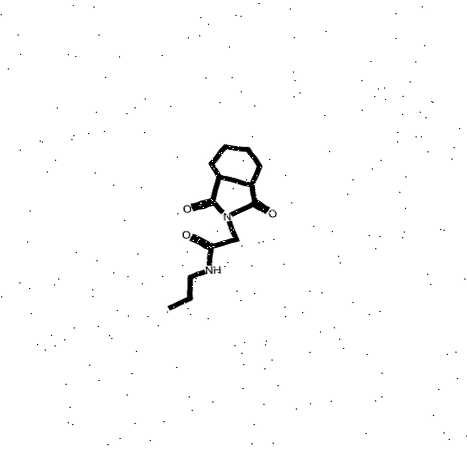 CCCNC(=O)CN1C(=O)C2CCCCC2C1=O